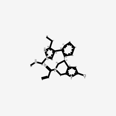 C=CC(=O)N1Cc2sc(Cl)cc2[C@@H](c2ccccc2-c2cn(COC)nc2CC)C1